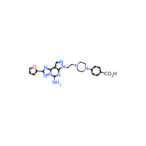 Nc1nc2c(cnn2CCN2CCN(c3ccc(C(=O)O)cc3)CC2)c2nc(-c3ccco3)nn12